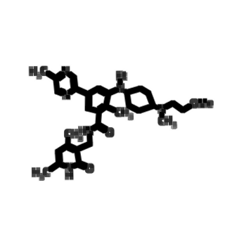 CCN(c1cc(-c2cnc(C)cn2)cc(C(=O)NCc2c(C)cc(C)[nH]c2=O)c1C)[C@H]1CC[C@H](N(C)CCOC)CC1